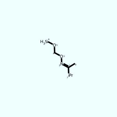 CC(=NOCO[SiH3])C(C)C